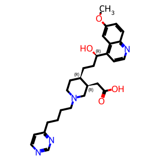 COc1ccc2nccc([C@H](O)CC[C@@H]3CCN(CCCCc4ccncn4)C[C@@H]3CC(=O)O)c2c1